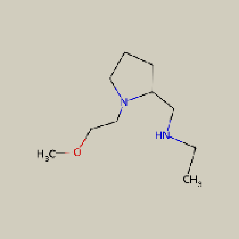 CCNCC1CCCN1CCOC